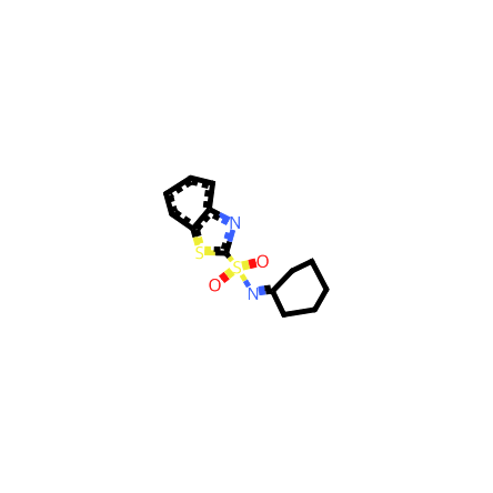 O=S(=O)(N=C1CCCCC1)c1nc2ccccc2s1